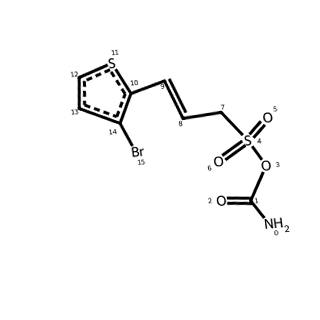 NC(=O)OS(=O)(=O)CC=Cc1sccc1Br